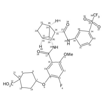 COc1cc(F)c(OC2CCC(C)(C(=O)O)CC2)cc1C(=O)N[C@@H]1[C@H]2CC[C@H](C2)[C@@H]1C(=O)Nc1cccc(S(=O)(=O)C(F)(F)F)c1